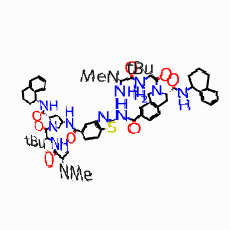 CN[C@@H](C)C(=O)N[C@H](C(=O)N1C[C@@H](NC(=O)c2ccc3sc(NC(=O)c4ccc5c(c4)CN(C(=O)C(NC(=O)[C@H](N)NC)C(C)(C)C)[C@H](C(=O)NC4CCCc6ccccc64)C5)nc3c2)C[C@H]1C(=O)N[C@@H]1CCCc2ccccc21)C(C)(C)C